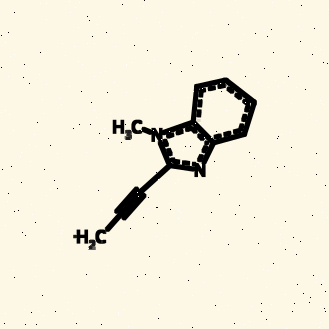 [CH2]C#Cc1nc2ccccc2n1C